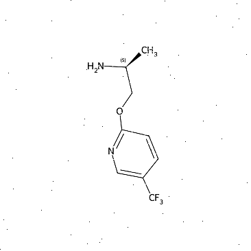 C[C@H](N)COc1ccc(C(F)(F)F)cn1